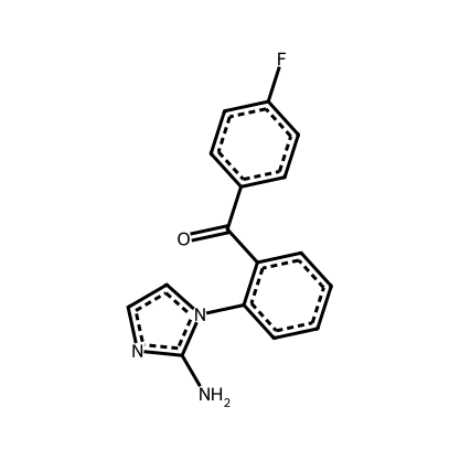 Nc1nccn1-c1ccccc1C(=O)c1ccc(F)cc1